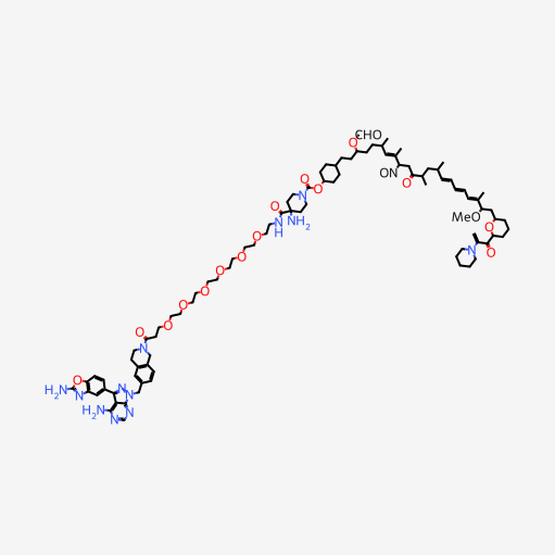 C=C(C(=O)C1CCCC(CC(OC)/C(C)=C/C=C/C=C/C(C)CC(C)C(=O)CC(N=O)/C(C)=C/C(C)CCC(CCC2CCC(OC(=O)N3CCC(N)(C(=O)NCCOCCOCCOCCOCCOCCOCCC(=O)N4CCc5cc(Cn6nc(-c7ccc8oc(N)nc8c7)c7c(N)ncnc76)ccc5C4)CC3)CC2)OC=O)O1)N1CCCCC1